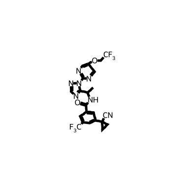 CC(NC(=O)c1cc(C(F)(F)F)cc(C2(C#N)CC2)c1)c1ncnn1-c1ncc(OCC(F)(F)F)cn1